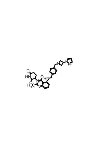 Cc1nc2cccc(NCc3ccc(CN4CC(n5cccn5)C4)cc3)c2c(=O)n1C1CCC(=O)NC1=O